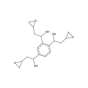 OC(CC1CO1)c1ccc(C(O)CC2CO2)c(C(O)CC2CO2)c1